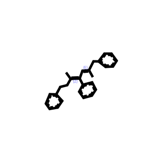 C/C(CCc1ccccc1)=C(\C=C(/C)Cc1ccccc1)c1ccccc1